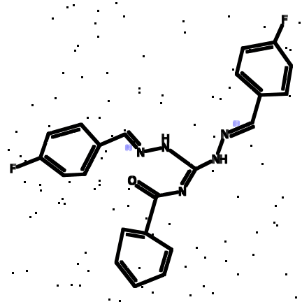 O=C(N=C(N/N=C/c1ccc(F)cc1)N/N=C/c1ccc(F)cc1)c1ccccc1